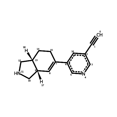 C#Cc1cncc(C2=C[C@@H]3CNC[C@@H]3CC2)c1